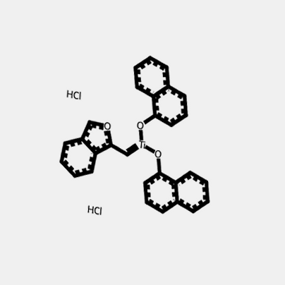 Cl.Cl.[CH](c1occ2ccccc12)=[Ti]([O]c1cccc2ccccc12)[O]c1cccc2ccccc12